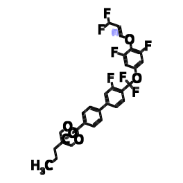 CCCC12COC(c3ccc(-c4ccc(C(F)(F)Oc5cc(F)c(O/C=C/C(F)F)c(F)c5)c(F)c4)cc3)(OC1)OC2